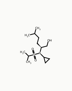 CC(C)CC[C@@H](CO)N(C1CC1)S(=O)(=O)C(C)C